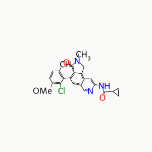 COc1ccc(C)c(-c2cc3cnc(NC(=O)C4CC4)cc3c3c2C(=O)N(C)C3)c1Cl